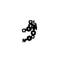 CN1Cc2cc(Cl)ccc2-n2c(nnc2C2CCC(Oc3ccc(C#N)cc3)CC2)C1